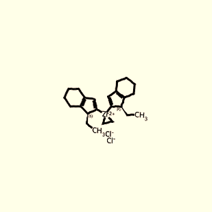 CC[C@@H]1[C]([Zr+2]2([C]3=CC4=C(CCCC4)[C@H]3CC)[CH2][CH2]2)=CC2=C1CCCC2.[Cl-].[Cl-]